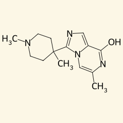 Cc1cn2c(C3(C)CCN(C)CC3)ncc2c(O)n1